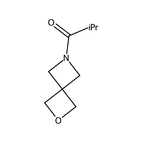 CC(C)C(=O)N1CC2(COC2)C1